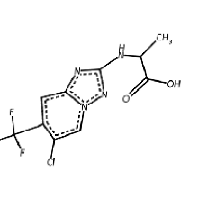 CC(Nc1nc2cc(C(F)(F)F)c(Cl)cn2n1)C(=O)O